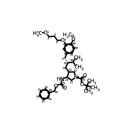 COCCCOc1cc(C[C@@H](CC2CN(C(=O)OC(C)(C)C)CC2NC(=O)OCc2ccccc2)C(C)C)ccc1OC